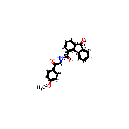 COc1ccc(C(=O)CNC(=O)c2cccc3c2-c2ccccc2C3=O)cc1